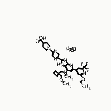 CCOc1cc(-c2cc(N(C)CC3(COC)CCC3)c3[nH]c(-c4cnc(N5CCC(C(=O)O)CC5)cn4)nc3n2)cc(C(F)(F)F)n1.Cl.Cl